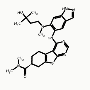 CN(C)C(=O)[C@H]1CCc2c(sc3ncnc(Nc4cc5cn[nH]c5cc4N(C)CCC(C)(C)O)c23)C1